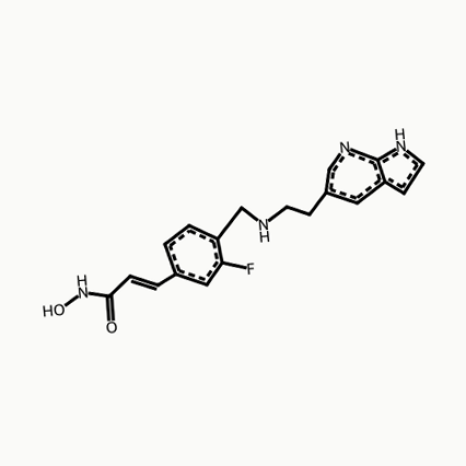 O=C(/C=C/c1ccc(CNCCc2cnc3[nH]ccc3c2)c(F)c1)NO